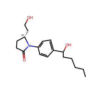 CCCCCC(O)c1ccc(N2C(=O)CC[C@@H]2CCO)cc1